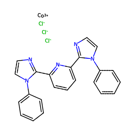 [Cl-].[Cl-].[Cl-].[Co+3].c1ccc(-n2ccnc2-c2cccc(-c3nccn3-c3ccccc3)n2)cc1